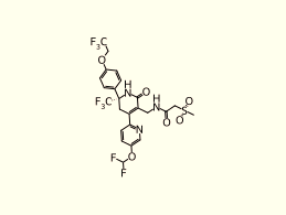 CS(=O)(=O)CC(=O)NCC1=C(c2ccc(OC(F)F)cn2)C[C@](c2ccc(OCC(F)(F)F)cc2)(C(F)(F)F)NC1=O